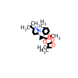 COc1ccc(C)cc1[C@]1(C(=O)O[C@H]2C(=O)OCC2(C)C)C[C@@H]1c1ccc(C(C)C)nn1